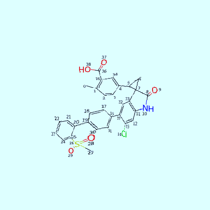 Cc1ccc(C2CC23C(=O)Nc2cc(Cl)c(-c4ccc(-c5ccccc5S(C)(=O)=O)cc4)cc23)cc1C(=O)O